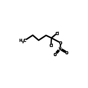 CCCCC(Cl)(Cl)[O][V](=[O])=[O]